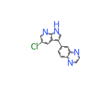 Clc1cnc2[nH]cc(-c3ccc4nccnc4c3)c2c1